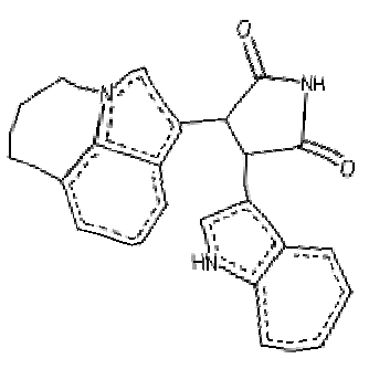 O=C1NC(=O)C(c2cn3c4c(cccc24)CCC3)C1c1c[nH]c2ccccc12